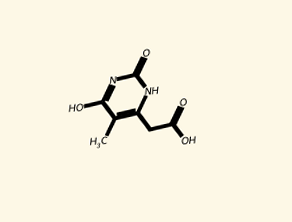 Cc1c(O)nc(=O)[nH]c1CC(=O)O